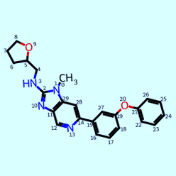 Cn1c(NCC2CCCO2)nc2cnc(-c3cccc(Oc4ccccc4)c3)cc21